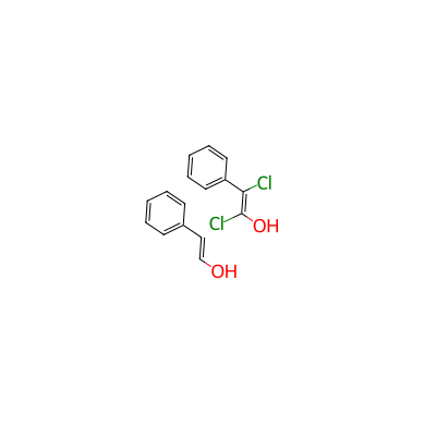 OC(Cl)=C(Cl)c1ccccc1.OC=Cc1ccccc1